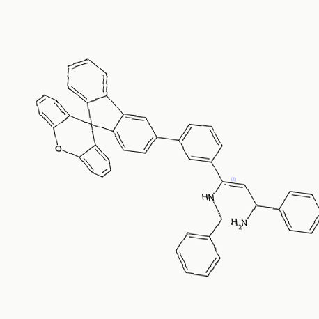 NC(/C=C(\NCc1ccccc1)c1cccc(-c2ccc3c(c2)-c2ccccc2C32c3ccccc3Oc3ccccc32)c1)c1ccccc1